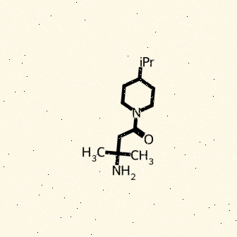 CC(C)C1CCN(C(=O)CC(C)(C)N)CC1